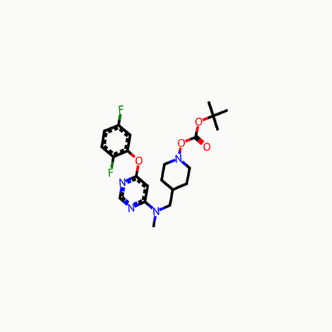 CN(CC1CCN(OC(=O)OC(C)(C)C)CC1)c1cc(Oc2cc(F)ccc2F)ncn1